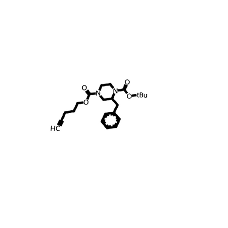 C#CCCCOC(=O)N1CCN(C(=O)OC(C)(C)C)C(Cc2ccccc2)C1